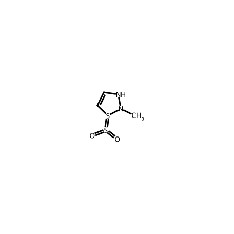 CN1NC=CS1=S(=O)=O